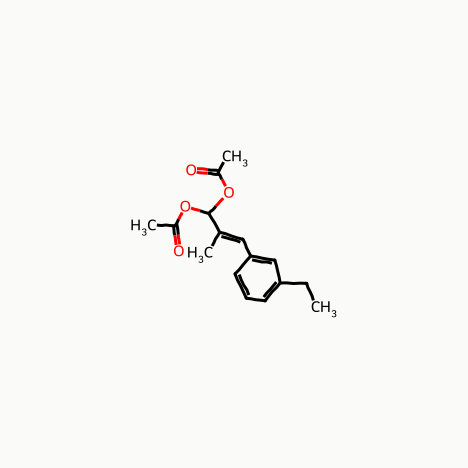 CCc1cccc(/C=C(\C)C(OC(C)=O)OC(C)=O)c1